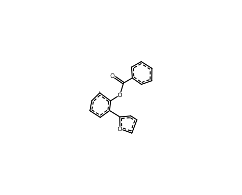 O=C(Oc1[c]cccc1-c1ccco1)c1ccccc1